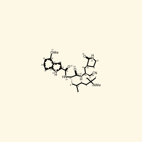 CNC(C)(C)CCC(C)C[C@H](NC(=O)c1cc2c(OC)cccc2[nH]1)C(=O)N[C@H](CC#N)C[C@@H]1CCNC1=O